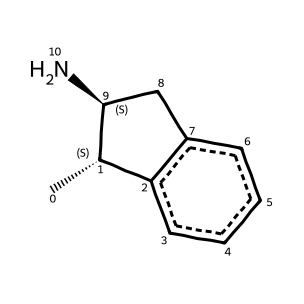 C[C@H]1c2ccccc2C[C@@H]1N